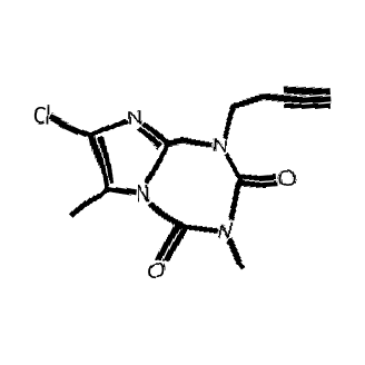 C#CCn1c(=O)n(C)c(=O)n2c(C)c(Cl)nc12